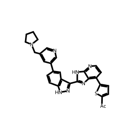 CC(=O)c1ccc(-c2ccnc3[nH]c(-c4n[nH]c5ccc(-c6cncc(CN7CCCC7)c6)cc45)nc23)s1